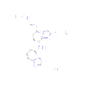 CCOC(=O)c1cn2c(Nc3ccc(/N=C/N(C)C)n4cc(C(=O)OCC)nc34)cccc2n1